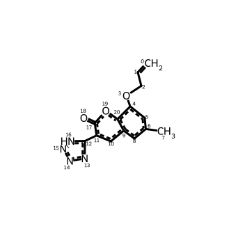 C=CCOc1cc(C)cc2cc(-c3nnn[nH]3)c(=O)oc12